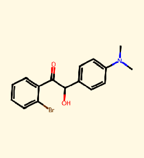 CN(C)c1ccc(C(O)C(=O)c2ccccc2Br)cc1